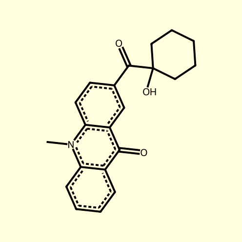 Cn1c2ccccc2c(=O)c2cc(C(=O)C3(O)CCCCC3)ccc21